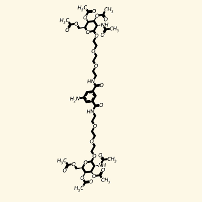 CC(=O)N[C@@H]1C(OCCOCCOCCNC(=O)c2cc(N)cc(C(=O)NCCOCCOCCOC3O[C@H](COC(C)=O)[C@H](OC(C)=O)[C@H](OC(C)=O)[C@H]3NC(C)=O)c2)O[C@@H](COC(C)=O)[C@@H](OC(C)=O)[C@H]1OC(C)=O